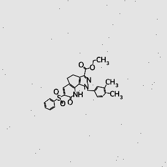 CCOC(=O)c1nn(Cc2ccc(C)c(C)c2)c2c1CCc1cc(S(=O)(=O)c3ccccc3)c(=O)[nH]c1-2